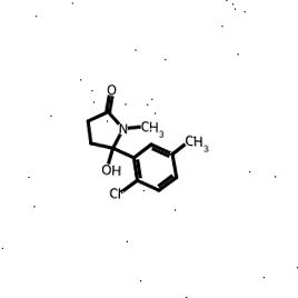 Cc1ccc(Cl)c(C2(O)CCC(=O)N2C)c1